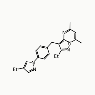 CCc1cnn(-c2ccc(Cc3c(CC)nn4c(C)cc(C)nc34)cc2)c1